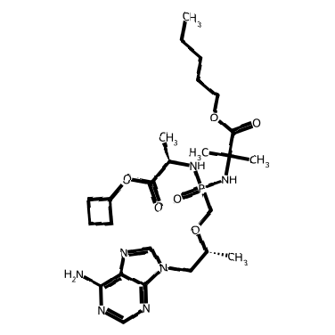 CCCCCOC(=O)C(C)(C)NP(=O)(CO[C@H](C)Cn1cnc2c(N)ncnc21)N[C@H](C)C(=O)OC1CCC1